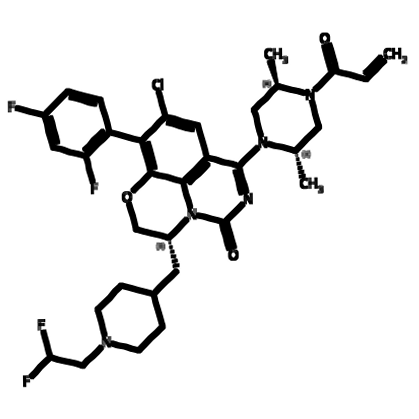 C=CC(=O)N1C[C@H](C)N(c2nc(=O)n3c4c(c(-c5ccc(F)cc5F)c(Cl)cc24)OC[C@H]3CC2CCN(CC(F)F)CC2)C[C@H]1C